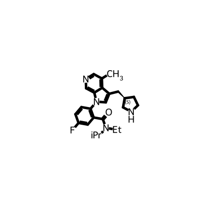 CCN(C(=O)c1cc(F)ccc1-n1cc(C[C@H]2CCNC2)c2c(C)cncc21)C(C)C